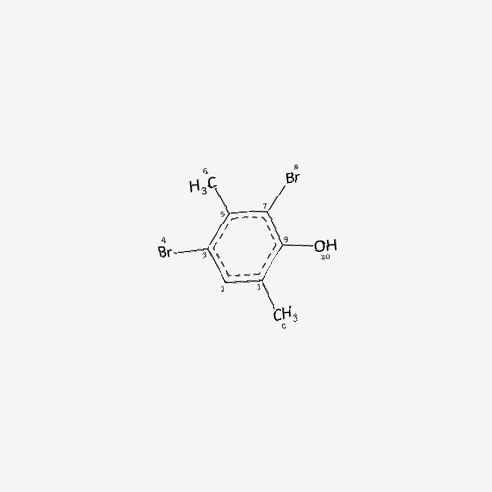 Cc1cc(Br)c(C)c(Br)c1O